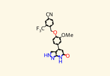 COc1cc(-c2cc(=O)[nH]c3n[nH]cc23)ccc1OCc1ccc(C#N)cc1C(F)(F)F